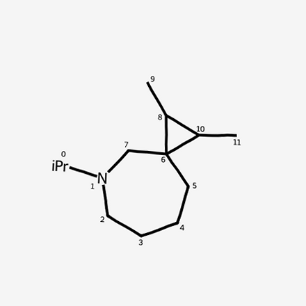 CC(C)N1CCCCC2(C1)C(C)C2C